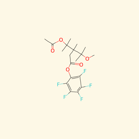 COC(C)(C)C(C)(CC(=O)Oc1c(F)c(F)c(F)c(F)c1F)C(C)(C)OC(C)=O